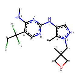 CNc1nc(Nc2cnn(CC3(C)COC3)c2C)ncc1C(F)(F)CF